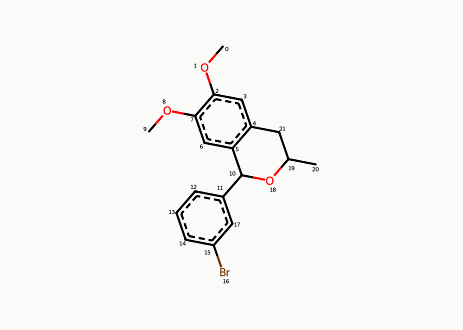 COc1cc2c(cc1OC)C(c1cccc(Br)c1)OC(C)C2